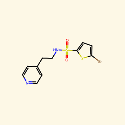 O=S(=O)(NCCc1ccncc1)c1ccc(Br)s1